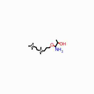 CC(O)C(N)OCCC[Si](C)(C)CC[Si](C)(C)C